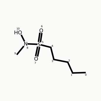 CCCCCS(=O)(=O)N(C)O